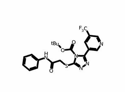 CC(C)(C)OC(=O)n1c(SCC(=O)Nc2ccccc2)nnc1-c1cncc(C(F)(F)F)c1